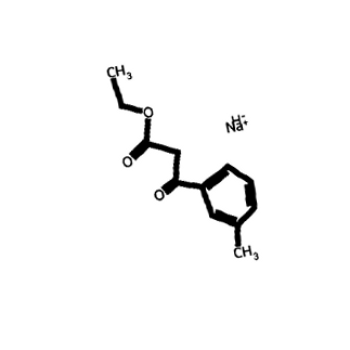 CCOC(=O)CC(=O)c1cccc(C)c1.[H-].[Na+]